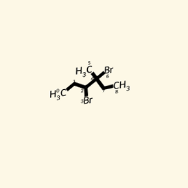 CC[C](Br)C(C)(Br)CC